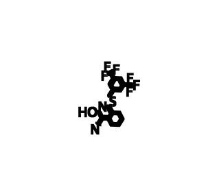 N#Cc1c(O)nc(SCc2cc(C(F)(F)F)cc(C(F)(F)F)c2)c2c1CCCC2